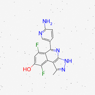 Cc1n[nH]c2nc(-c3ccc(N)nc3)c3c(F)cc(O)c(F)c3c12